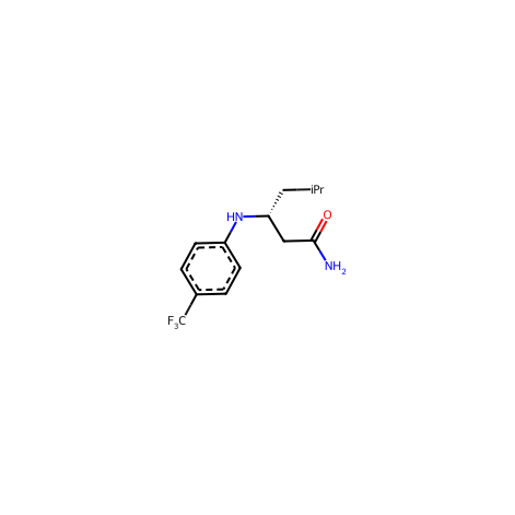 CC(C)C[C@H](CC(N)=O)Nc1ccc(C(F)(F)F)cc1